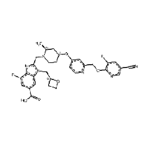 C[C@H]1C[C@@H](Oc2ccnc(COc3ncc(C#N)cc3F)c2)CCN1Cc1nc2c(F)cc(C(=O)O)cc2n1C[C@@H]1CCO1